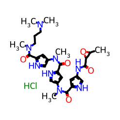 CC1OC1C(=O)Nc1c[nH]c(C(=O)N(C)c2c[nH]c(C(=O)N(C)c3c[nH]c(C(=O)N(C)CCCN(C)C)c3)c2)c1.Cl